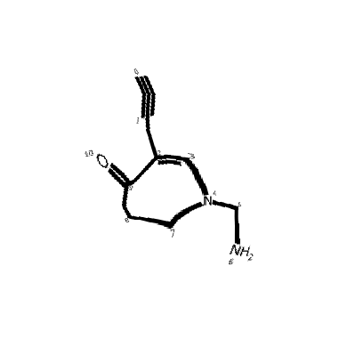 C#CC1=CN(CN)CCC1=O